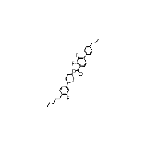 CCCCCc1ccc(C2CCC(OC(=O)c3ccc(-c4ccc(CCC)cc4)c(F)c3F)CC2)cc1F